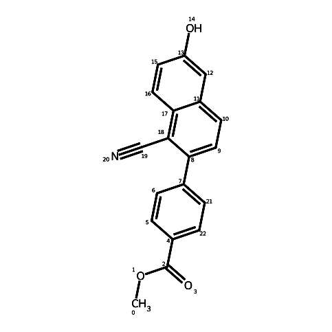 COC(=O)c1ccc(-c2ccc3cc(O)ccc3c2C#N)cc1